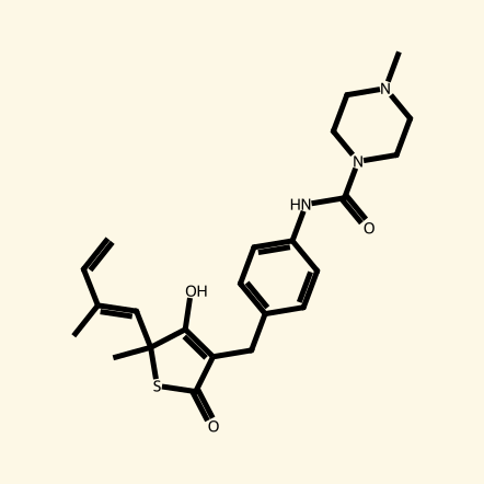 C=C/C(C)=C/C1(C)SC(=O)C(Cc2ccc(NC(=O)N3CCN(C)CC3)cc2)=C1O